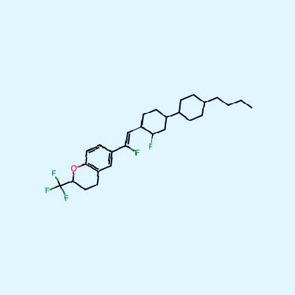 CCCCC1CCC(C2CCC(/C=C(\F)c3ccc4c(c3)CCC(C(F)(F)F)O4)C(F)C2)CC1